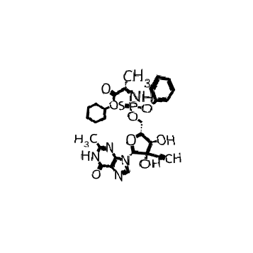 C#C[C@@]1(O)[C@H](O)[C@@H](COP(=S)(N[C@@H](C)C(=O)OC2CCCCC2)Oc2ccccc2)O[C@H]1n1cnc2c(=O)[nH]c(C)nc21